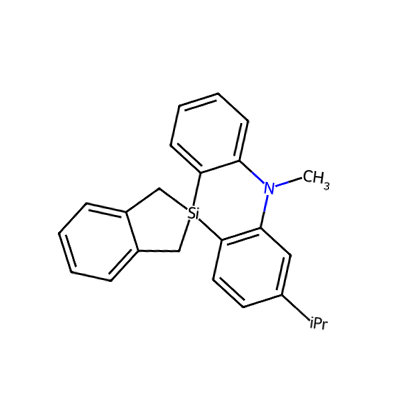 CC(C)c1ccc2c(c1)N(C)c1ccccc1[Si]21Cc2ccccc2C1